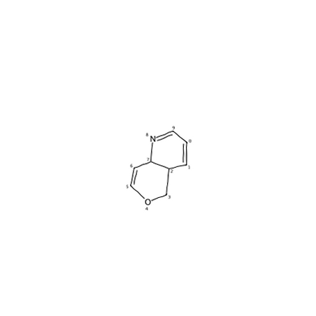 C1=CC2COC=CC2N=C1